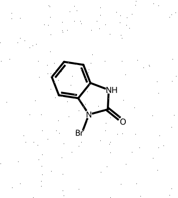 O=c1[nH]c2ccccc2n1Br